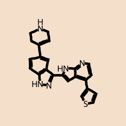 C1=C(c2ccc3[nH]nc(-c4cc5c(-c6ccsc6)ccnc5[nH]4)c3c2)CCNC1